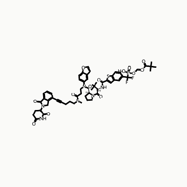 CN(CCCC#Cc1cccc2c1CN(C1CCC(=O)NC1=O)C2=O)C(=O)CCN(C(=O)[C@@H]1CCCN1C(=O)[C@@H](NC(=O)c1cc2cc(C(F)(F)P(=O)(O)OCOC(=O)C(C)(C)C)ccc2s1)C(C)(C)C)c1ccc2occc2c1